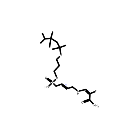 CC(C)C(C)(C)CC(C)(C)OCCCOP(=O)(O)C/C=C/CN/C=C(/F)C(N)=O